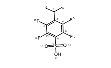 CC(C)c1c(F)c(F)c(S(=O)(=O)O)c(F)c1F